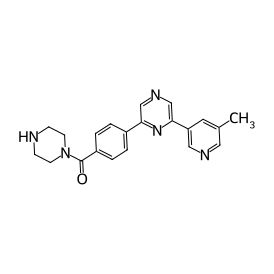 Cc1cncc(-c2cncc(-c3ccc(C(=O)N4CCNCC4)cc3)n2)c1